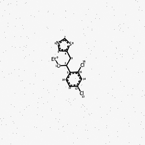 CCOC(Cc1cncs1)c1ccc(Cl)cc1Cl